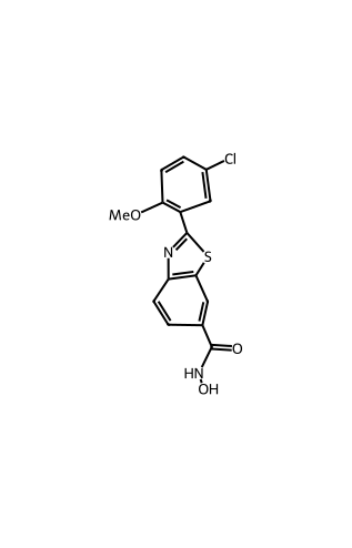 COc1ccc(Cl)cc1-c1nc2ccc(C(=O)NO)cc2s1